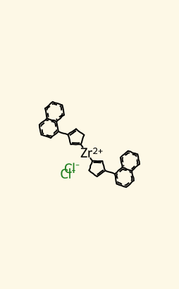 C1=[C]([Zr+2][C]2=CC(c3cccc4ccccc34)=CC2)CC=C1c1cccc2ccccc12.[Cl-].[Cl-]